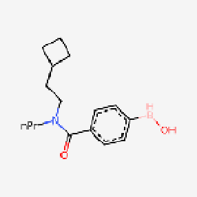 CCCN(CCC1CCC1)C(=O)c1ccc(BO)cc1